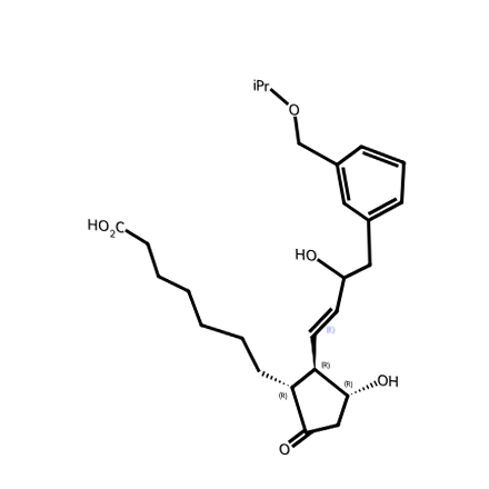 CC(C)OCc1cccc(CC(O)/C=C/[C@H]2[C@H](O)CC(=O)[C@@H]2CCCCCCC(=O)O)c1